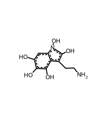 NCCc1c(O)n(O)c2cc(O)c(O)c(O)c12